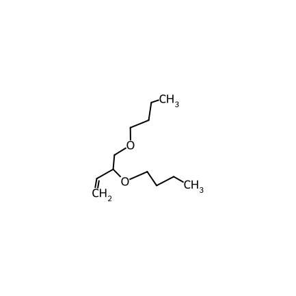 C=CC(COCCCC)OCCCC